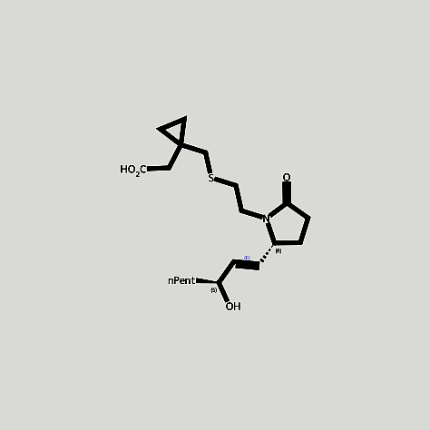 CCCCC[C@H](O)/C=C/[C@H]1CCC(=O)N1CCSCC1(CC(=O)O)CC1